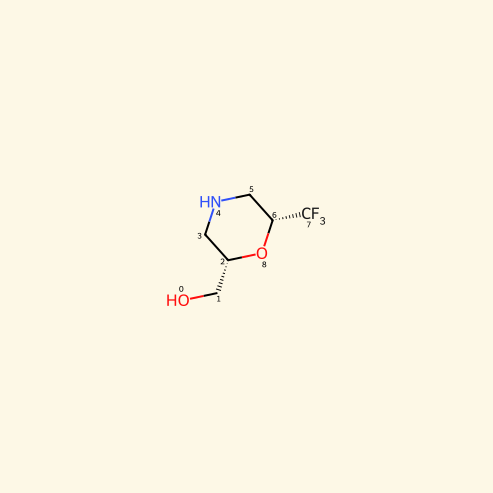 OC[C@@H]1CNC[C@H](C(F)(F)F)O1